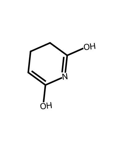 OC1=CCCC(O)=N1